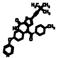 CC(C)(C)C#Cc1cc(N(C(=O)[C@H]2CC[C@H](C)CC2)[C@H]2CC[C@@H](Oc3ccncc3)CC2)c(C(=O)O)s1